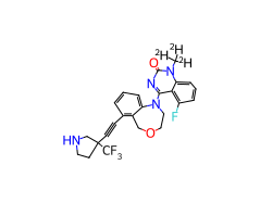 [2H]C([2H])([2H])n1c(=O)nc(N2CCOCc3c(C#CC4(C(F)(F)F)CCNC4)cccc32)c2c(F)cccc21